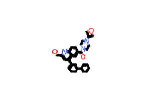 O=Cc1cc(-c2cccc(-c3ccccc3)c2)c2cc(C(=O)N3CCN(C4COC4)CC3)ccc2n1